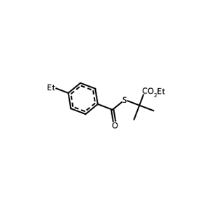 CCOC(=O)C(C)(C)SC(=O)c1ccc(CC)cc1